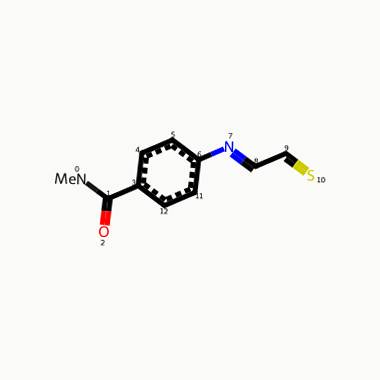 CNC(=O)c1ccc(N=CC=S)cc1